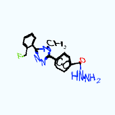 Cn1c(-c2ccccc2CF)nnc1C12CCC(C(=O)NN)(CC1)CC2